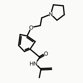 C=C(C)NC(=O)c1cccc(OCCN2CCCC2)c1